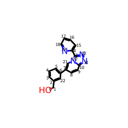 OCc1cccc(-c2ccc3nnc(-c4ccccn4)n3c2)c1